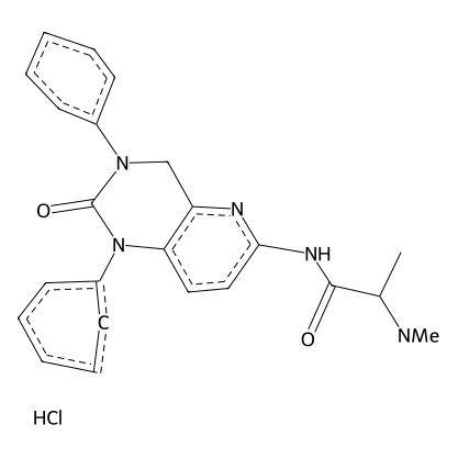 CNC(C)C(=O)Nc1ccc2c(n1)CN(c1ccccc1)C(=O)N2c1ccccc1.Cl